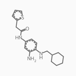 Nc1cc(NC(=O)Cc2cccs2)ccc1NCC1CCCCC1